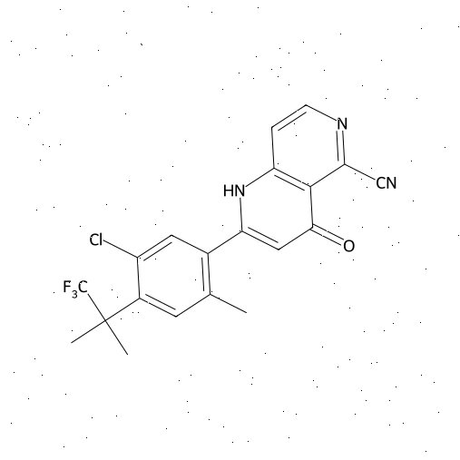 Cc1cc(C(C)(C)C(F)(F)F)c(Cl)cc1-c1cc(=O)c2c(C#N)nccc2[nH]1